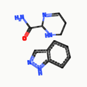 NC(=O)C1N=CCCN1.c1ccc2[nH]ncc2c1